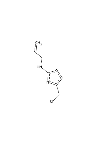 C=CCNc1nc(CCl)cs1